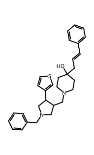 OC1(CC=Cc2ccccc2)CCN(CC2CN(Cc3ccccc3)CC2c2ccsc2)CC1